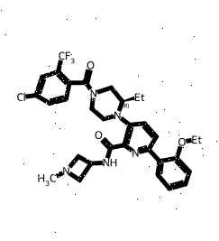 CCOc1ccccc1-c1ccc(N2CCN(C(=O)c3ccc(Cl)cc3C(F)(F)F)C[C@H]2CC)c(C(=O)NC2CN(C)C2)n1